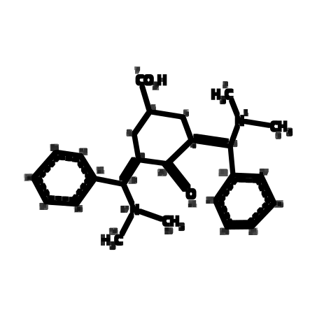 CN(C)C(=C1CC(C(=O)O)CC(=C(c2ccccc2)N(C)C)C1=O)c1ccccc1